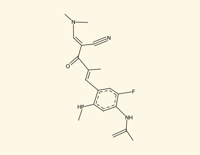 C=C(C)Nc1cc(PC)c(/C=C(\C)C(=O)/C(C#N)=C/N(C)C)cc1F